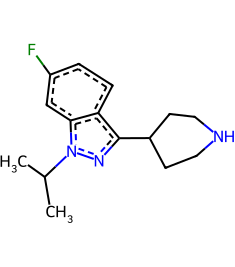 CC(C)n1nc(C2CCNCC2)c2ccc(F)cc21